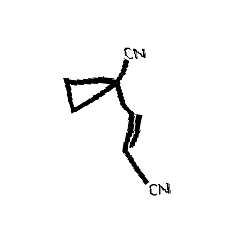 N#CC=CC1(C#N)CC1